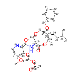 COc1ccnc(C(=O)N[C@H]2COC[C@H](OCc3ccccc3)[C@@H](CCC(C)C)[C@H](C)OC2=O)c1OCOC(C)=O